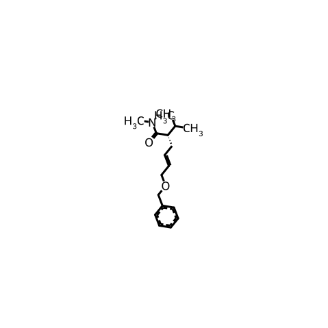 CC(C)[C@H](CC=CCOCc1ccccc1)C(=O)N(C)C